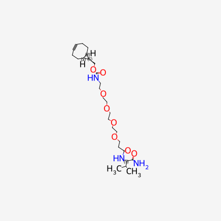 CC(C)[C@H](NC(=O)CCOCCOCCOCCOCCNC(=O)OC[C@@H]1[C@@H]2CCC#CCC[C@@H]21)C(N)=O